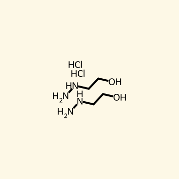 Cl.Cl.NNCCO.NNCCO